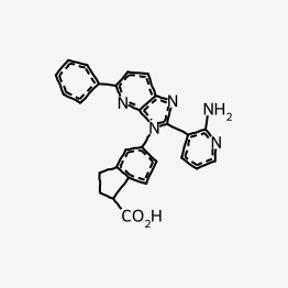 Nc1ncccc1-c1nc2ccc(-c3ccccc3)nc2n1-c1ccc2c(c1)CCC2C(=O)O